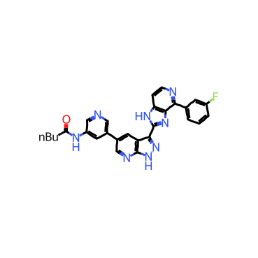 CCCCC(=O)Nc1cncc(-c2cnc3[nH]nc(-c4nc5c(-c6cccc(F)c6)nccc5[nH]4)c3c2)c1